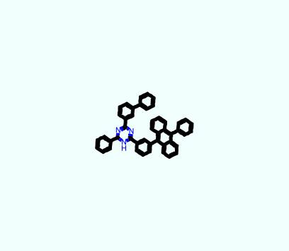 c1ccc(-c2cccc(C3=NC(c4ccccc4)NC(c4cccc(-c5c6ccccc6c(-c6ccccc6)c6ccccc56)c4)=N3)c2)cc1